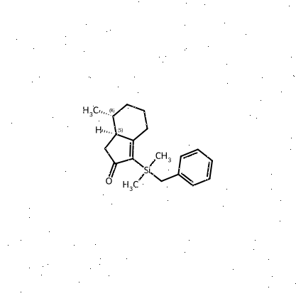 C[C@@H]1CCCC2=C([Si](C)(C)Cc3ccccc3)C(=O)C[C@H]21